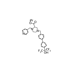 CC(C)OC(=O)C1CN(Cc2ccc(-c3ccc(C(O)(C(F)(F)F)C(F)(F)F)cc3)cc2)CCN1Cc1ccncc1